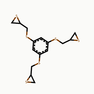 c1c(SCC2CS2)cc(SCC2CS2)cc1SCC1CS1